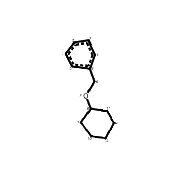 [c]1ccccc1COC1CCCCC1